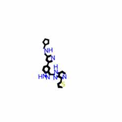 c1csc(-c2nccc3[nH]c(-c4n[nH]c5ccc(-c6cncc(CNCC7CCCC7)c6)cc45)nc23)c1